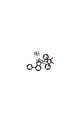 CC1=Cc2c(-c3ccccc3)cccc2[CH]1[Zr](=[SiH2])([C]1=C(C)C(C)=C(C)C1C)([c]1ccccc1)[c]1ccccc1.Cl.Cl